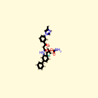 Cc1cn(-c2cccc(C(=O)CC(=O)NC3C=C(c4ccccc4)C=CC3(F)CC(C)(C)OC(N)=O)c2)cn1